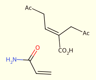 C=CC(N)=O.CC(=O)CC=C(CC(C)=O)C(=O)O